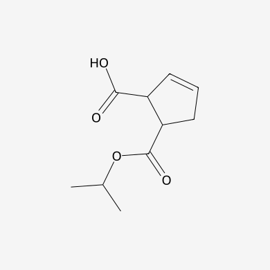 CC(C)OC(=O)C1CC=CC1C(=O)O